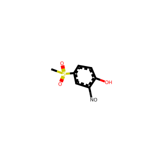 CS(=O)(=O)c1ccc(O)c(N=O)c1